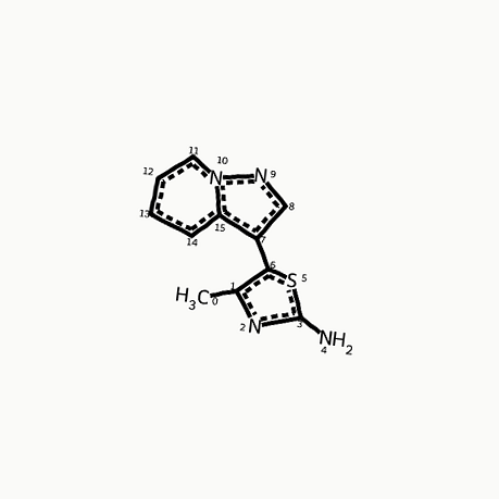 Cc1nc(N)sc1-c1cnn2ccccc12